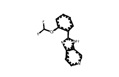 FC(F)Oc1ccccc1-c1nc2ccncc2[nH]1